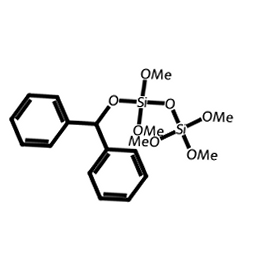 CO[Si](OC)(OC)O[Si](OC)(OC)OC(c1ccccc1)c1ccccc1